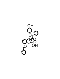 O=C(O)C1Cc2c(cccc2OCc2ccccc2)CN1C(=O)[C@@H](OC1CCC(O)CC1)c1ccccc1